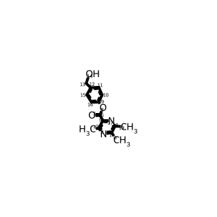 Cc1nc(C)c(C(=O)Oc2ccc(CO)cc2)nc1C